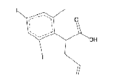 C=CCC(C(=O)O)c1c(I)cc(I)cc1I